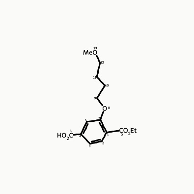 CCOC(=O)c1ccc(C(=O)O)cc1OCCCCOC